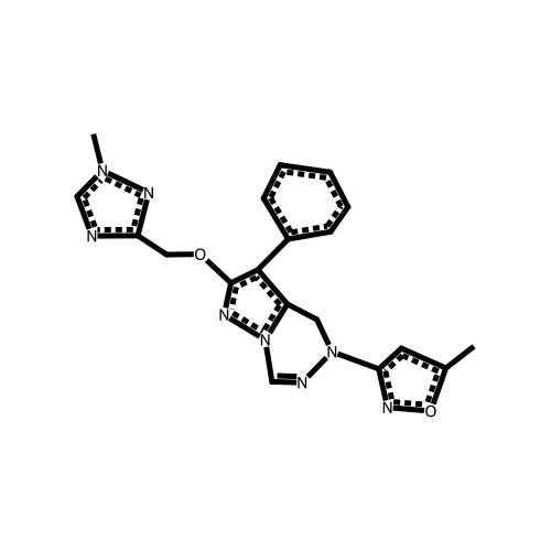 Cc1cc(N2Cc3c(-c4ccccc4)c(OCc4ncn(C)n4)nn3C=N2)no1